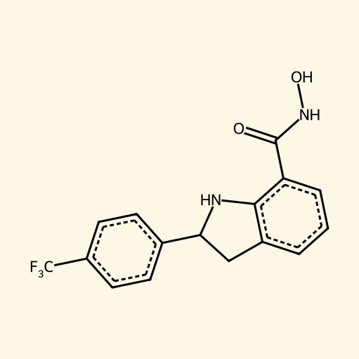 O=C(NO)c1cccc2c1NC(c1ccc(C(F)(F)F)cc1)C2